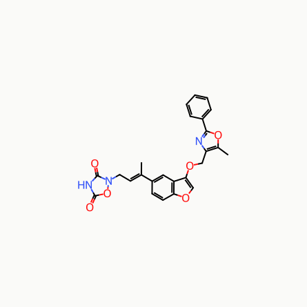 CC(=CCn1oc(=O)[nH]c1=O)c1ccc2occ(OCc3nc(-c4ccccc4)oc3C)c2c1